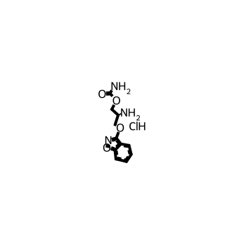 Cl.NC(=O)OC[C@H](N)COc1noc2ccccc12